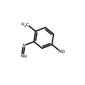 Cc1ccc(N=O)cc1N=N